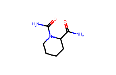 NC(=O)C1C[CH]CCN1C(N)=O